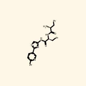 CC(C)C[C@H](NC(=O)[C@@H](N)CC(C)C)C(=O)Nc1csc(-c2ccc(C(C)C)nc2)n1